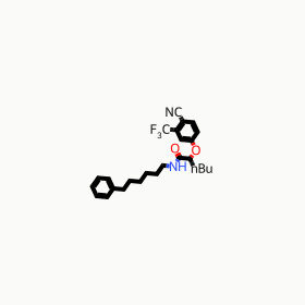 CCCCC(Oc1ccc(C#N)c(C(F)(F)F)c1)C(=O)NCCCCCCc1ccccc1